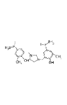 BP(I)c1cc(C)c(O)c(CN2CCN(Cc3cc(P(B)I)cc(C)c3O)C2)c1